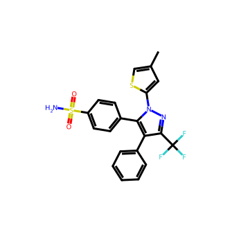 Cc1csc(-n2nc(C(F)(F)F)c(-c3ccccc3)c2-c2ccc(S(N)(=O)=O)cc2)c1